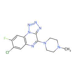 CN1CCN(c2nc3cc(Cl)c(F)cc3n3nnnc23)CC1